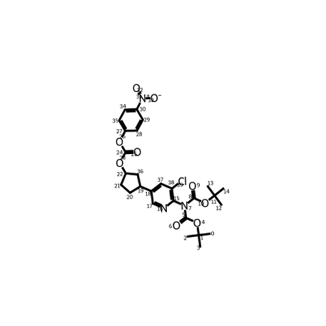 CC(C)(C)OC(=O)N(C(=O)OC(C)(C)C)c1ncc(C2CCC(OC(=O)Oc3ccc([N+](=O)[O-])cc3)C2)cc1Cl